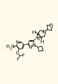 Nc1ncc(-c2cc([C@H]3[C@@H]4CN(C5COC5)C[C@@H]43)n(C3CCC3)n2)cc1OC(F)F